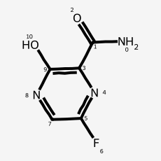 NC(=O)c1nc(F)cnc1O